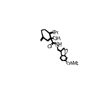 COc1ccc2c(c1)OCC2CNC(=O)C1(O)CC(C)CCC1C(C)C